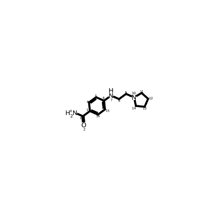 NC(=O)c1ccc(NCCN2CCCC2)cc1